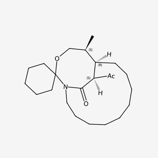 CC(=O)[C@H]1C(=O)N2CCCCCCCCC[C@@H]1[C@H](C)COC21CCCCC1